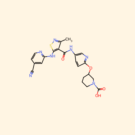 Cc1nsc(Nc2cc(C#N)ccn2)c1C(=O)Nc1ccc(OC2CCCN(C(=O)O)C2)nc1